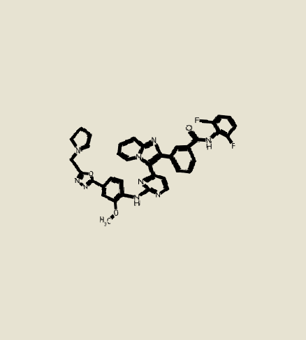 COc1cc(-c2nnc(CN3CCCC3)o2)ccc1Nc1nccc(-c2c(-c3cccc(C(=O)Nc4c(F)cccc4F)c3)nc3ccccn23)n1